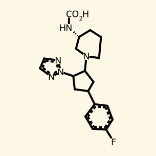 O=C(O)N[C@@H]1CCCN(C2CC(c3ccc(F)cc3)CC2n2nccn2)C1